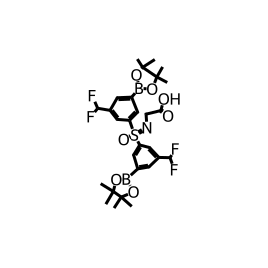 CC1(C)OB(c2cc(C(F)F)cc(S(=O)(=NCC(=O)O)c3cc(B4OC(C)(C)C(C)(C)O4)cc(C(F)F)c3)c2)OC1(C)C